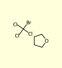 C1CCOC1.ClC(Cl)(Cl)Br